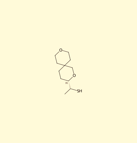 CC(S)[C@@H]1CCC2(CCOCC2)CO1